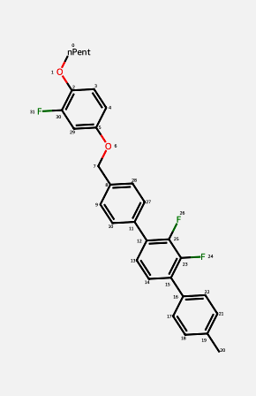 CCCCCOc1ccc(OCc2ccc(-c3ccc(-c4ccc(C)cc4)c(F)c3F)cc2)cc1F